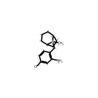 C[N+]1(Cc2ccc(Cl)cc2N)C2C[CH]CC1CC2